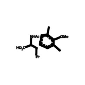 CC(=O)NC(CC(C)C)C(=O)O.COc1c(C)cccc1C